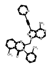 Cc1ccccc1-n1c(Cn2nc(C#Cc3ccccn3)c3c(N)ncnc32)nc2cccc(C)c2c1=O